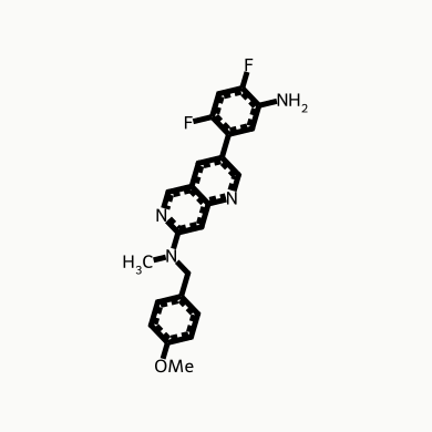 COc1ccc(CN(C)c2cc3ncc(-c4cc(N)c(F)cc4F)cc3cn2)cc1